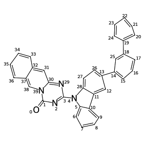 O=c1nc(-n2c3ccccc3c3cc(-c4cccc(-c5ccccc5)c4)ccc32)nc2cc3ccccc3cn12